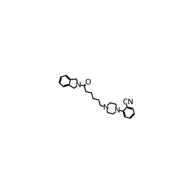 N#Cc1ccccc1N1CCN(CCCCCC(=O)N2Cc3ccccc3C2)CC1